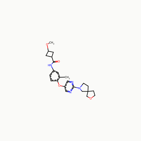 COC1CC(C(=O)Nc2ccc(Oc3cnc(N4CCC5(CCOC5)C4)nc3)c(C)c2)C1